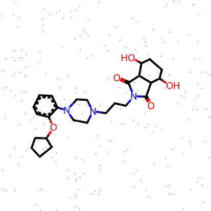 O=C1C2C(O)CCC(O)C2C(=O)N1CCCN1CCN(c2ccccc2OC2CCCC2)CC1